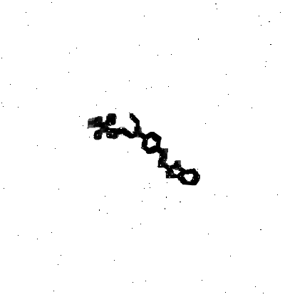 CCN(CCOS(=O)(=O)O)c1ccc(N=Nc2nc3ccccc3s2)cc1